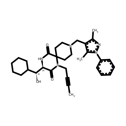 CC#CCN1C(=O)[C@@H]([C@H](O)C2CCCCC2)NC(=O)C12CCN(Cc1c(C)nn(-c3ccccc3)c1C)CC2